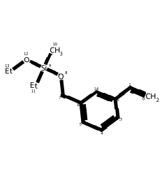 C=Cc1cccc(CO[Si](C)(CC)OCC)c1